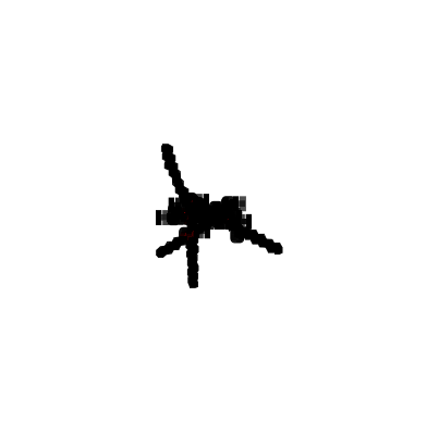 CCCCCCCCCCCCCC(=O)N[C@H]1[C@H](OC[C@H]2O[C@H](O)[C@@](NC(=O)CCCCCCCCCCCCC)(C(C)OP(=O)(O)O)[C@@H](OC(=O)CNC(=O)CCCCCCCCCCC)[C@@H]2O)O[C@H](CO)[C@@H](OP(=O)(O)O)[C@@H]1OCCCC(=O)CCCCCCCCCC